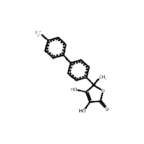 CC1(c2ccc(-c3ccc(C(F)(F)F)cc3)cc2)OC(=O)C(O)=C1O